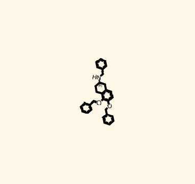 c1ccc(CN[C@@H]2CCc3c(ccc(OCc4ccccc4)c3OCc3ccccc3)C2)cc1